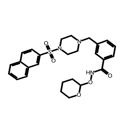 O=C(NOC1CCCCO1)c1cccc(CN2CCN(S(=O)(=O)c3ccc4ccccc4c3)CC2)c1